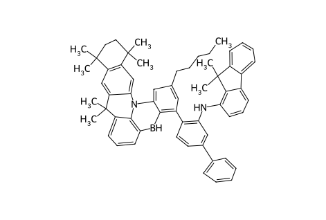 CCCCCc1cc(-c2ccc(-c3ccccc3)cc2Nc2cccc3c2C(C)(C)c2ccccc2-3)c2c(c1)N1c3cc4c(cc3C(C)(C)c3cccc(c31)B2)C(C)(C)CCC4(C)C